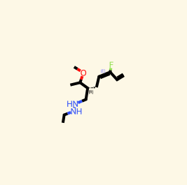 C=C/C(F)=C\C[C@H](CNNCC)C(C)OC